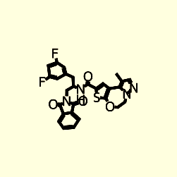 Cc1cnn2c1-c1cc(C(=O)NC(Cc3cc(F)cc(F)c3)CN3C(=O)c4ccccc4C3=O)sc1OCC2